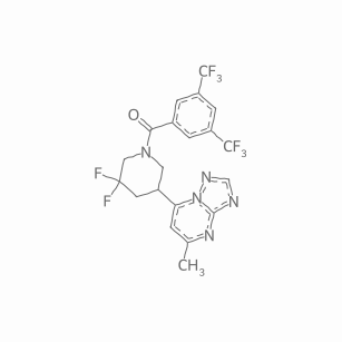 Cc1cc(C2CN(C(=O)c3cc(C(F)(F)F)cc(C(F)(F)F)c3)CC(F)(F)C2)n2ncnc2n1